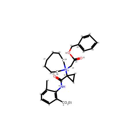 CCOC(=O)c1cccc(C)c1NC(=O)C1([N+]2(CC(=O)OCc3ccccc3)CCCCCCC2)CC1